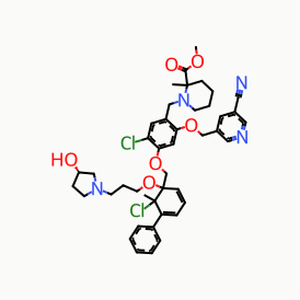 COC(=O)C1(C)CCCCN1Cc1cc(Cl)c(OCC2(OCCCN3CC[C@@H](O)C3)C=CC=C(c3ccccc3)C2(C)Cl)cc1OCc1cncc(C#N)c1